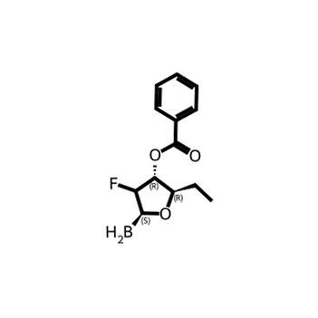 B[C@@H]1O[C@H](CC)[C@@H](OC(=O)c2ccccc2)C1F